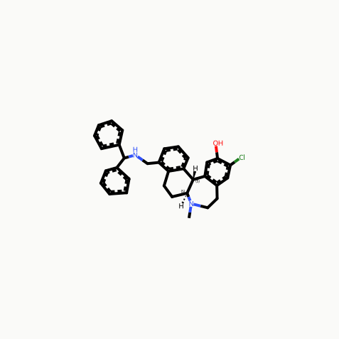 CN1CCc2cc(Cl)c(O)cc2[C@H]2c3cccc(CNC(c4ccccc4)c4ccccc4)c3CC[C@@H]21